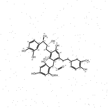 COc1cc(O)cc(O)c1[C@@H](I=O)c1c(CCC2C=CC(O)=C(C)C2)cc(O)c(C[C@@H](O)[C@H](C)c2ccc(O)c(O)c2)c1C